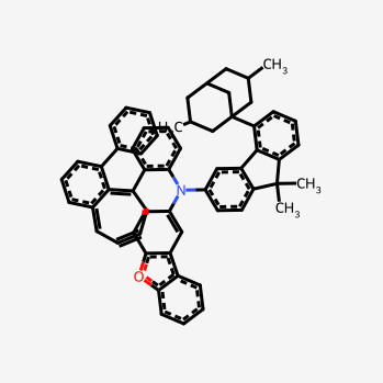 CC1CC2CC(C)CC(c3cccc4c3-c3cc(N(C5=Cc6c(oc7ccccc67)CC5)c5ccccc5C5=c6c(-c7ccccc7)cccc6=CC#CC5)ccc3C4(C)C)(C1)C2